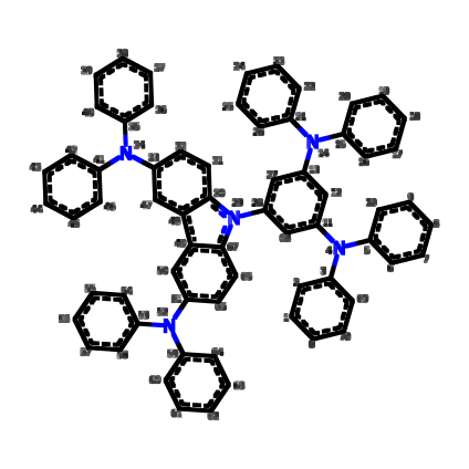 c1ccc(N(c2ccccc2)c2cc(N(c3ccccc3)c3ccccc3)cc(-n3c4ccc(N(c5ccccc5)c5ccccc5)cc4c4cc(N(c5ccccc5)c5ccccc5)ccc43)c2)cc1